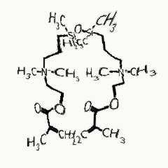 C=C(C)C(=O)OCC[N+](C)(C)CCC[Si](C)(C)O[Si](C)(C)CCC[N+](C)(C)CCOC(=O)C(=C)C